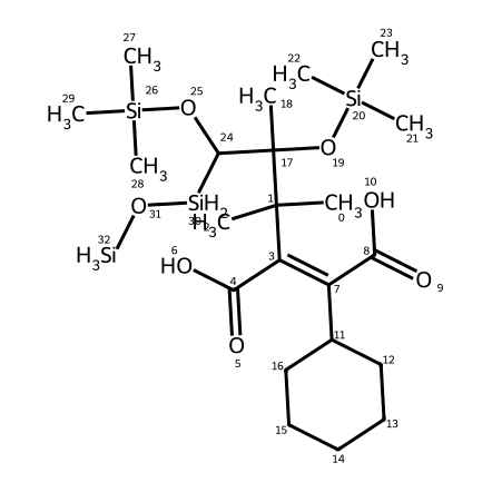 CC(C)(/C(C(=O)O)=C(\C(=O)O)C1CCCCC1)C(C)(O[Si](C)(C)C)C(O[Si](C)(C)C)[SiH2]O[SiH3]